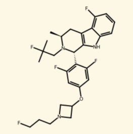 C[C@H]1Cc2c([nH]c3cccc(F)c23)[C@H](c2c(F)cc(OC3CN(CCCF)C3)cc2F)N1CC(C)(C)F